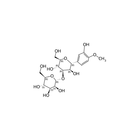 COc1ccc([C@H]2O[C@H](CO)[C@@H](O)[C@H](O[C@H]3O[C@H](CO)[C@@H](O)[C@H](O)[C@@H]3O)[C@@H]2O)cc1O